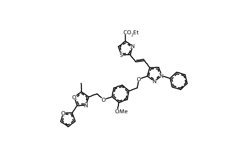 CCOC(=O)c1csc(/C=C/c2cn(-c3ccccc3)nc2OCc2ccc(OCc3nc(-c4ccco4)oc3C)c(OC)c2)n1